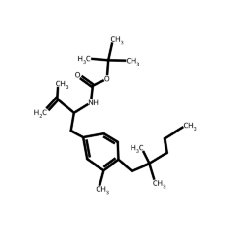 C=C(C)C(Cc1ccc(CC(C)(C)CCC)c(C)c1)NC(=O)OC(C)(C)C